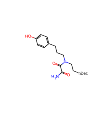 CCCCCCCCCCCCN(CCCc1ccc(O)cc1)C(=O)C(N)=O